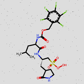 CC(C)CC(NC(=O)OCc1c(F)c(F)c(F)c(F)c1F)C(=O)N[C@@H](CC1CCNC1=O)CS(=O)(=O)OO